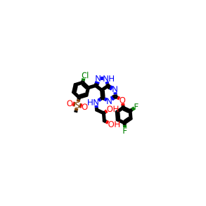 CS(=O)(=O)c1ccc(Cl)c(-c2n[nH]c3nc(Oc4ccc(F)cc4F)nc(NCC(O)CO)c23)c1